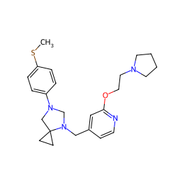 CSc1ccc(N2CN(Cc3ccnc(OCCN4CCCC4)c3)C3(CC3)C2)cc1